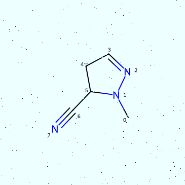 CN1N=C[C]C1C#N